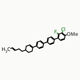 C/C=C/CCC1CC=C(c2ccc(-c3ccc(-c4ccc(OC)c(Cl)c4F)cc3)cc2)CC1